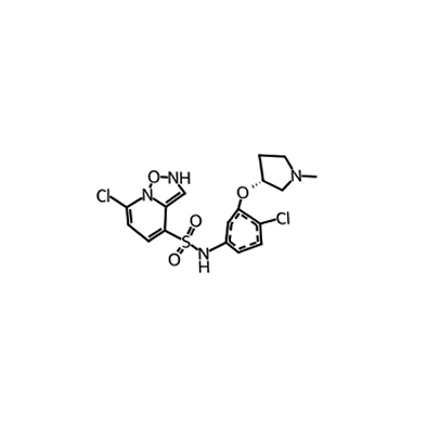 CN1CC[C@@H](Oc2cc(NS(=O)(=O)C3=CC=C(Cl)N4ONC=C34)ccc2Cl)C1